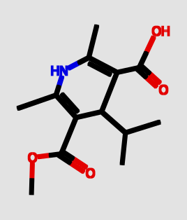 COC(=O)C1=C(C)NC(C)=C(C(=O)O)C1C(C)C